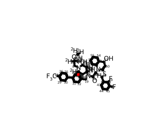 [2H]C([2H])([2H])OC([2H])([2H])CN1C([2H])([2H])C([2H])([2H])C([2H])(N(Cc2ccc(-c3ccc(C(F)(F)F)cc3)cc2)C(=O)C([2H])([2H])N2C(SCc3cccc(F)c3F)=CC(O)c3ccccc32)C([2H])([2H])C1([2H])[2H]